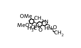 C=CC(=O)NCc1cc2c(=O)n(C)c(-c3c(C)c(OC)cc(OC)c3Cl)cc2cn1